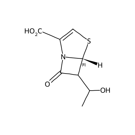 CC(O)C1C(=O)N2C(C(=O)O)=CS[C@H]12